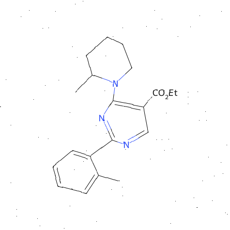 CCOC(=O)c1cnc(-c2ccccc2C)nc1N1CCCCC1C